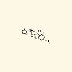 Cc1ccc(C(C)(C)CC(=O)Nc2nccs2)cc1